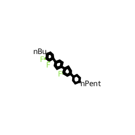 CCCCCC1CCC(c2ccc(-c3ccc(-c4ccc(CCCC)c(F)c4F)cc3)c(F)c2)CC1